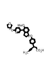 CC#CC(CC(=O)O)c1ccc(O[C@@H]2CCc3c2ccc(OC)c3-c2ccc(O[C@@H]3CCOC3)nc2)cc1